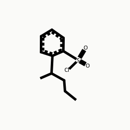 CCCC(C)c1ccccc1S(=O)(=O)Cl